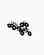 CC1(C)c2ccccc2-c2ccc(-c3nc(-c4ccc5oc6cccc(-c7nc(-c8ccccc8)nc(-c8ccccc8)n7)c6c5c4)c4sc5ccccc5c4n3)cc21